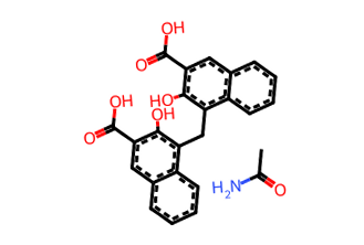 CC(N)=O.O=C(O)c1cc2ccccc2c(Cc2c(O)c(C(=O)O)cc3ccccc23)c1O